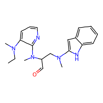 CCN(C)c1cccnc1N(C)C(C=O)CN(C)c1cc2ccccc2[nH]1